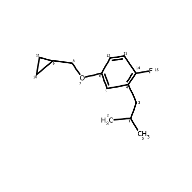 CC(C)Cc1cc(OCC2CC2)ccc1F